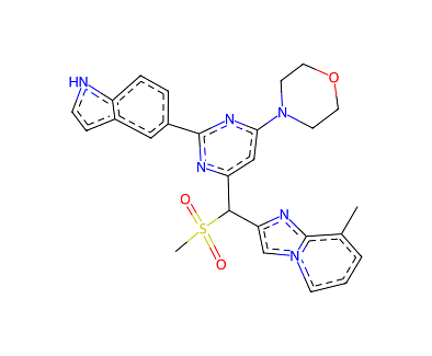 Cc1cccn2cc(C(c3cc(N4CCOCC4)nc(-c4ccc5[nH]ccc5c4)n3)S(C)(=O)=O)nc12